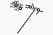 CCCCCCCCCCCCCCCCCCCCCCCC=CC(=Nc1ccc(CCC)c(CCC)c1)C(CCCC)=Nc1ccc(CCC)c(CCC)c1.Cc1ccc(O)c(O)c1C(=O)[O-].Cc1ccc(O)c(O)c1C(=O)[O-].[Ni+2]